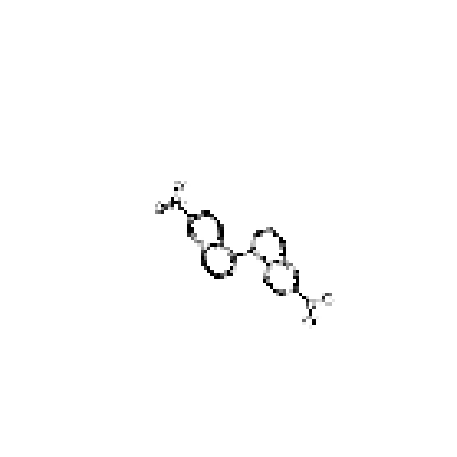 O=[N+]([O-])c1ccc2c(-c3cccc4cc([N+](=O)[O-])ccc34)cccc2c1